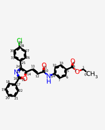 CCOC(=O)c1ccc(NC(=O)C=Cc2oc(-c3ccccc3)nc2-c2ccc(Cl)cc2)cc1